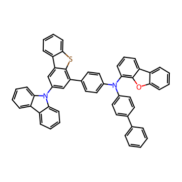 c1ccc(-c2ccc(N(c3ccc(-c4cc(-n5c6ccccc6c6ccccc65)cc5c4sc4ccccc45)cc3)c3cccc4c3oc3ccccc34)cc2)cc1